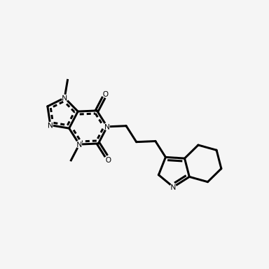 Cn1cnc2c1c(=O)n(CCCC1=C3CCCCC3=NC1)c(=O)n2C